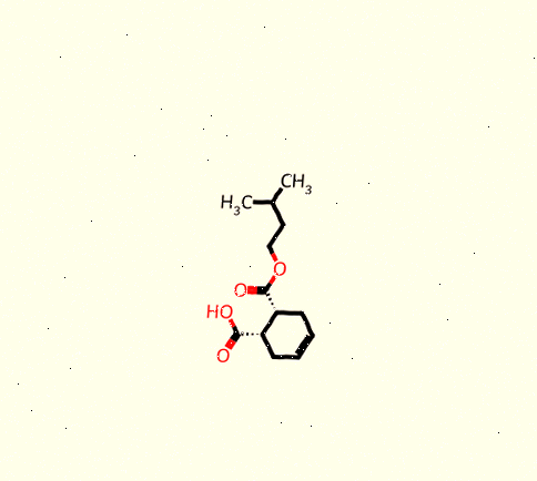 CC(C)CCOC(=O)[C@@H]1CC=CC[C@@H]1C(=O)O